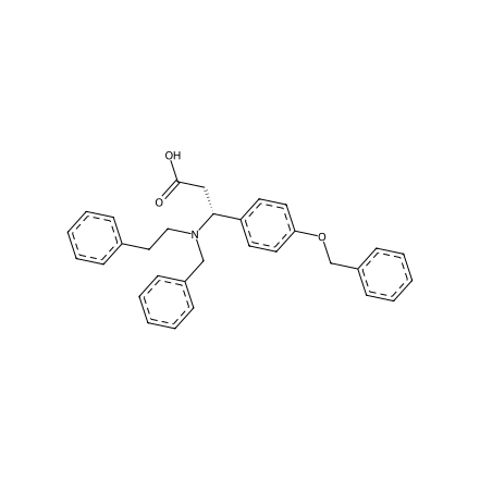 O=C(O)C[C@H](c1ccc(OCc2ccccc2)cc1)N(CCc1ccccc1)Cc1ccccc1